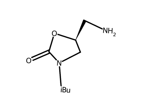 CCC(C)N1C[C@H](CN)OC1=O